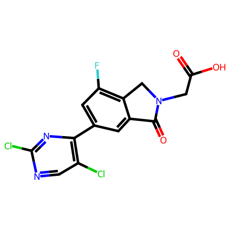 O=C(O)CN1Cc2c(F)cc(-c3nc(Cl)ncc3Cl)cc2C1=O